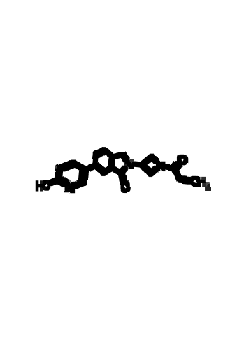 C=CC(=O)N1CC(N2Cc3ccc(-c4ccc(O)nc4)cc3C2=O)C1